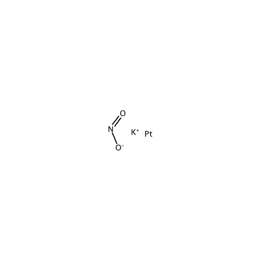 O=N[O-].[K+].[Pt]